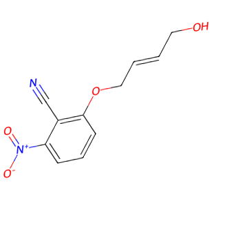 N#Cc1c(OCC=CCO)cccc1[N+](=O)[O-]